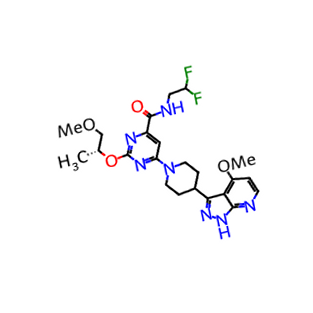 COC[C@@H](C)Oc1nc(C(=O)NCC(F)F)cc(N2CCC(c3n[nH]c4nccc(OC)c34)CC2)n1